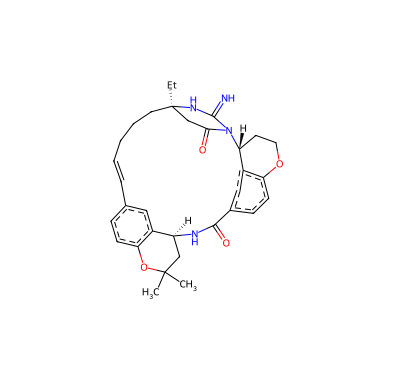 CC[C@]12CCC/C=C/c3ccc4c(c3)[C@H](CC(C)(C)O4)NC(=O)c3ccc4c(c3)[C@@H](CCO4)N(C(=N)N1)C(=O)C2